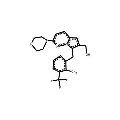 Cc1c(Cc2c(CO)nc3ccc(N4CCOCC4)nn23)cccc1C(F)(F)F